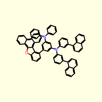 c1ccc(N(c2ccccc2)c2cc(-c3cccc4oc5c6ccccc6c6ccccc6c5c34)cc(N(c3cccc(-c4cccc5ccccc45)c3)c3cccc(-c4cccc5ccccc45)c3)c2)cc1